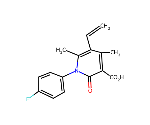 C=Cc1c(C)c(C(=O)O)c(=O)n(-c2ccc(F)cc2)c1C